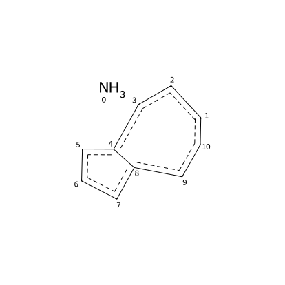 N.c1ccc2cccc-2cc1